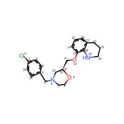 Clc1ccc(CN2CCO[C@H](COc3cccc4c3NCCC4)C2)cc1